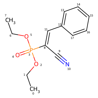 CCOP(=O)(OCC)C(C#N)=Cc1ccccc1